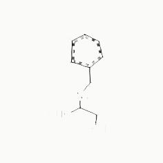 O=[C]CC([C]=O)NCc1ccccc1